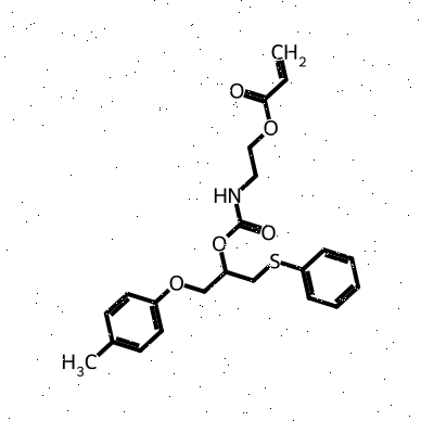 C=CC(=O)OCCNC(=O)OC(COc1ccc(C)cc1)CSc1ccccc1